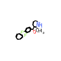 C1=CC=CCC=C1.CC1NCCC=CC1C(=O)c1ccc(F)c(F)c1